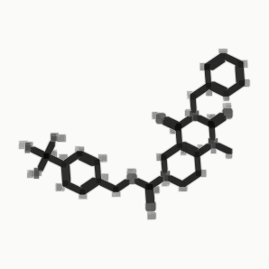 Cn1c2c(c(=O)n(Cc3ccccc3)c1=O)CN(C(=O)OCc1ccc(C(F)(F)F)cc1)CC2